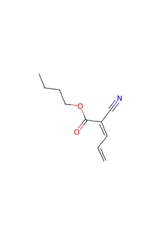 C=CC=C(C#N)C(=O)OCCCC